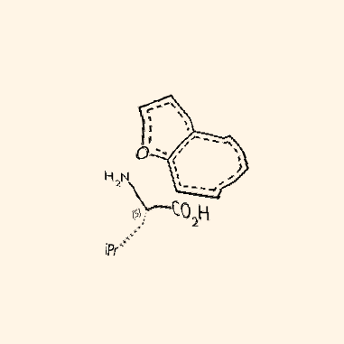 CC(C)[C@H](N)C(=O)O.c1ccc2occc2c1